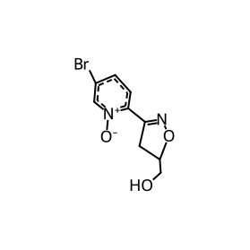 [O-][n+]1cc(Br)ccc1C1=NOC(CO)C1